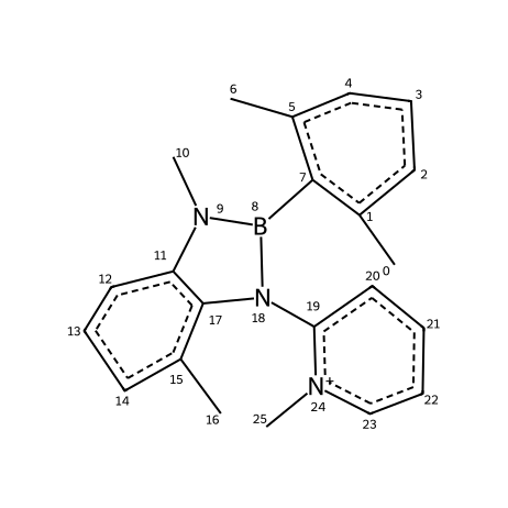 Cc1cccc(C)c1B1N(C)c2cccc(C)c2N1c1cccc[n+]1C